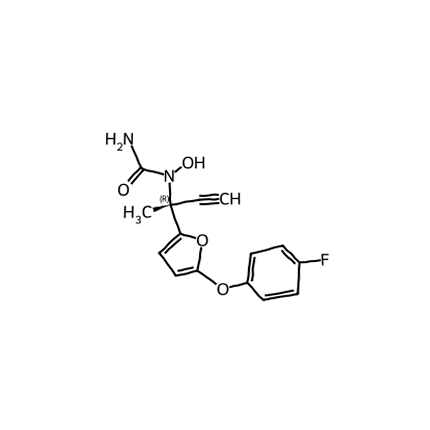 C#C[C@](C)(c1ccc(Oc2ccc(F)cc2)o1)N(O)C(N)=O